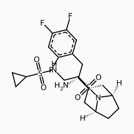 N[C@H](Cc1cc(F)c(F)cc1F)[C@@H]1C[C@H]2CC[C@@H](C1)N2S(=O)(=O)CCNS(=O)(=O)C1CC1